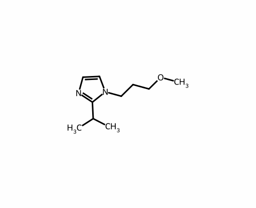 COCCCn1ccnc1C(C)C